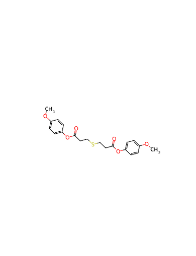 COc1ccc(OC(=O)CCSCCC(=O)Oc2ccc(OC)cc2)cc1